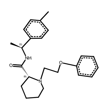 Cc1ccc([C@H](C)NC(=O)[C@H]2CCCCN2CCOc2ccccc2)cc1